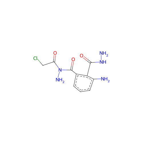 NNC(=O)c1c(N)cccc1C(=O)N(N)C(=O)CCl